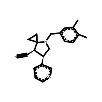 Cc1ccc(CN2C[C@@H](c3cccnc3)[C@@H](C#N)C23CC3)cc1C